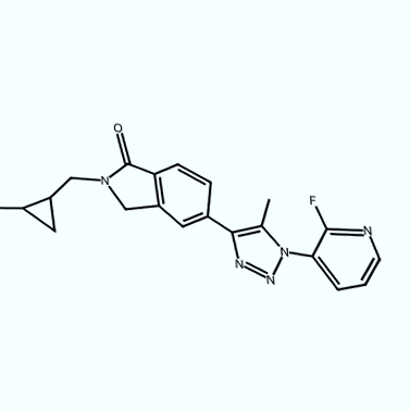 Cc1c(-c2ccc3c(c2)CN(CC2CC2C)C3=O)nnn1-c1cccnc1F